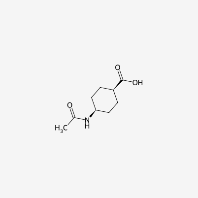 CC(=O)N[C@H]1CC[C@@H](C(=O)O)CC1